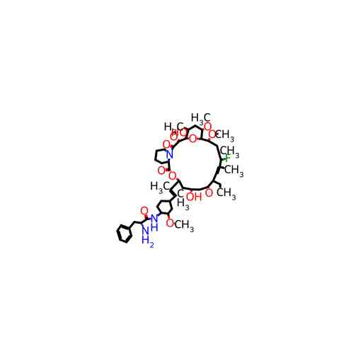 CCC1/C=C(\C)C(F)C(C)CC(OC)C2OC(O)(C(=O)C(=O)N3CCCCC3C(=O)OC(C(C)=CC3CCC(NC(=O)[C@@H](N)Cc4ccccc4)C(OC)C3)C(C)C(O)CC1=O)C(C)CC2OC